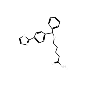 NC(=O)CCCCOC(c1ccccc1)c1ccc(-c2nccs2)cc1